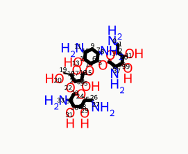 NCC1O[C@H](O[C@@H]2C(N)C[C@@H](N)C(O)C2O[C@@H]2O[C@H](CO)C(OC3OC(CN)[C@@H](O)C(O)[C@H]3N)C2O)C(N)C(O)[C@@H]1O